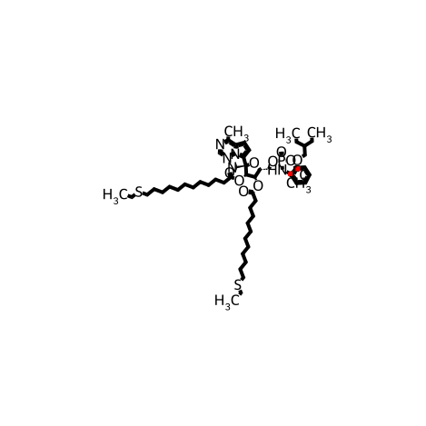 CCSCCCCCCCCCCCC(=O)O[C@H]1[C@@H](OC(=O)CCCCCCCCCCCSCC)[C@](C#N)(c2ccc3c(C)ncnn23)O[C@@H]1COP(=O)(N[C@H](C)C(=O)OCC(CC)CC)Oc1ccccc1